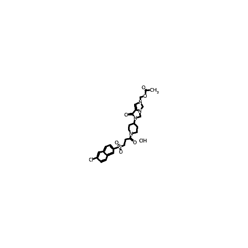 CC(=O)OCN1C=C2C(=O)N(C3CCN(C(=O)CCS(=O)(=O)c4ccc5cc(Cl)ccc5c4)CC3)CN2C1.Cl